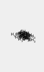 CCC[SiH](CCC)O[Si](CCC)(CCC)O[Si](CCC)(CCC)S[Si](CCC)(CCC)O[Si](CCC)(CCC)O[SiH](CCC)CCC